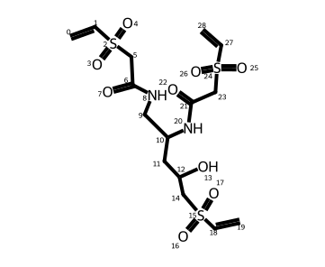 C=CS(=O)(=O)CC(=O)NCC(CC(O)CS(=O)(=O)C=C)NC(=O)CS(=O)(=O)C=C